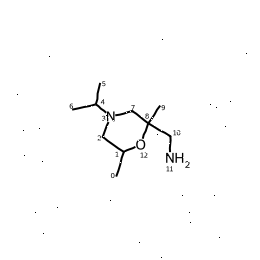 CC1CN(C(C)C)CC(C)(CN)O1